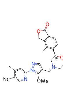 COc1c(CN2CCO[C@H](c3ccc4c(c3C)COC4=O)C2)cnn1-c1cc(C)c(C#N)cn1